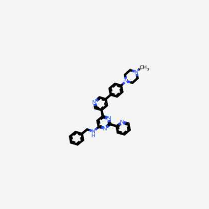 CN1CCN(c2ccc(-c3cncc(-c4cc(NCc5ccccc5)nc(-c5ccccn5)n4)c3)cc2)CC1